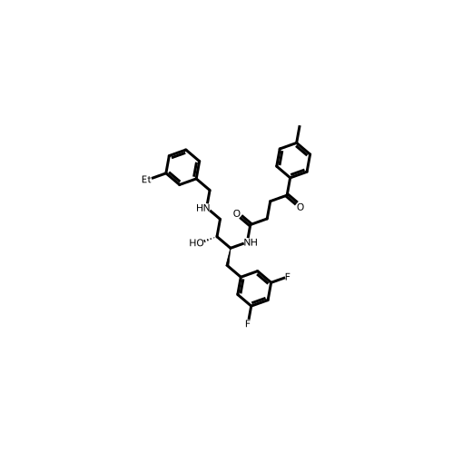 CCc1cccc(CNC[C@@H](O)[C@H](Cc2cc(F)cc(F)c2)NC(=O)CCC(=O)c2ccc(C)cc2)c1